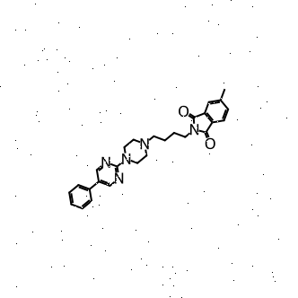 Cc1ccc2c(c1)C(=O)N(CCCCN1CCN(c3ncc(-c4ccccc4)cn3)CC1)C2=O